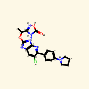 CC(Oc1nc2nc(-c3ccc(N4CCCC4)cc3)c(Cl)cc2[nH]1)c1noc(=O)[nH]1